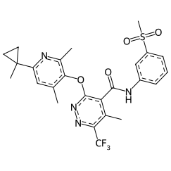 Cc1cc(C2(C)CC2)nc(C)c1Oc1nnc(C(F)(F)F)c(C)c1C(=O)Nc1cccc(S(C)(=O)=O)c1